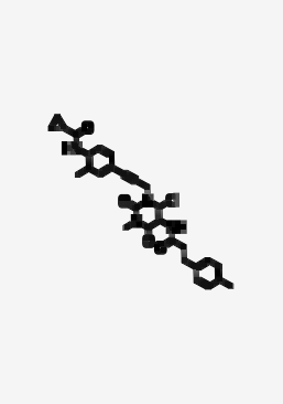 Cc1ccc(CCC(=O)Nc2c(Cl)n(CC#Cc3ccc(NC(=O)C4CC4)c(C)c3)c(=O)n(C)c2=O)cc1